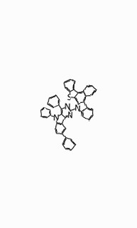 c1ccc(-c2ccc3c(c2)c2nc(-n4c5ccccc5c5c6ccccc6c6c7ccccc7sc6c54)nc(-c4ccccc4)c2n3-c2ccccc2)cc1